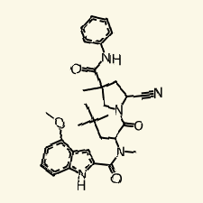 COc1cccc2[nH]c(C(=O)N(C)C(CC(C)(C)C)C(=O)N3CC(C)(C(=O)Nc4ccccc4)CC3C#N)cc12